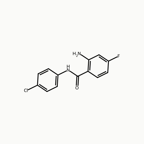 Nc1cc(F)ccc1C(=O)Nc1ccc(Cl)cc1